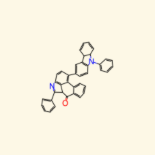 O=C1c2ccccc2-c2c(-c3ccc4c(c3)C3C=CC=CC3N4c3ccccc3)ccc3c2C1C(c1ccccc1)=N3